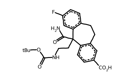 CC(C)(C)OC(=O)NCCC1(C(N)=O)c2ccc(C(=O)O)cc2CCc2ccc(F)cc21